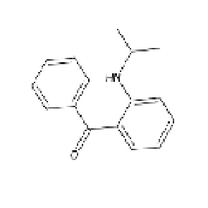 CC(C)Nc1ccccc1C(=O)c1ccccc1